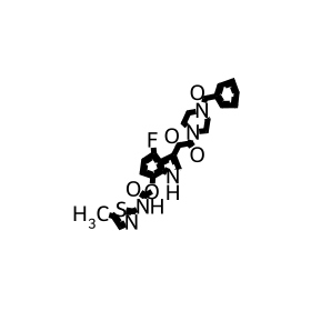 Cc1cnc(NC(=O)Oc2ccc(F)c3c(C(=O)C(=O)N4CCN(C(=O)c5ccccc5)CC4)c[nH]c23)s1